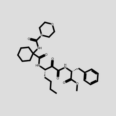 CCCC[C@H](NC(=O)C1(NC(=O)N2CCOCC2)CCCCC1)C(=O)C(=O)N[C@H](Cc1ccccc1)C(=O)OC